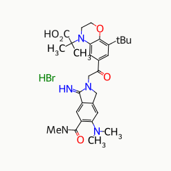 Br.CNC(=O)c1cc2c(cc1N(C)C)CN(CC(=O)c1cc3c(c(C(C)(C)C)c1)OCCN3C(C)(C)C(=O)O)C2=N